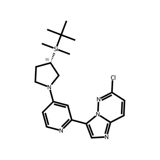 CC(C)(C)[Si](C)(C)[C@H]1CCN(c2ccnc(-c3cnc4ccc(Cl)nn34)c2)C1